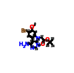 COc1cc2c(cc1Br)c1c(N)ncnc1n2CC(=O)OC(C)(C)C